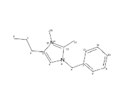 CCCc1cn(Cc2ccccc2)c(C)[n+]1C